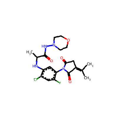 CC(C)=C1CC(=O)N(c2cc(NC(C)C(=O)NN3CCOCC3)c(Cl)cc2F)C1=O